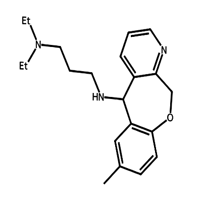 CCN(CC)CCCNC1c2cc(C)ccc2OCc2ncccc21